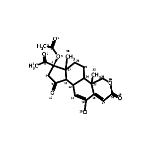 CC(=O)O[C@]1(C(C)=O)CC(=O)C2C3C=C(Cl)C4=CC(=O)OCC4(C)C3CCC21C